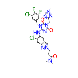 CN(C)C(=O)CCn1cc2cc(Nc3nc(=O)n(Cc4ncn(C)n4)c(=O)n3Cc3cc(F)c(F)c(Cl)c3)c(Cl)cc2n1